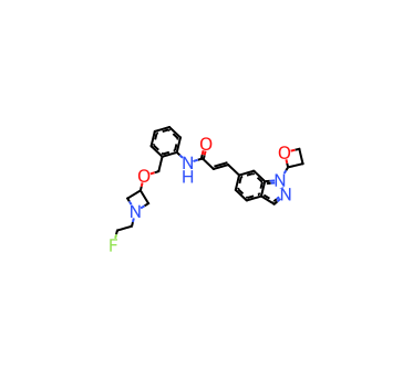 O=C(/C=C/c1ccc2cnn(C3CCO3)c2c1)Nc1ccccc1COC1CN(CCF)C1